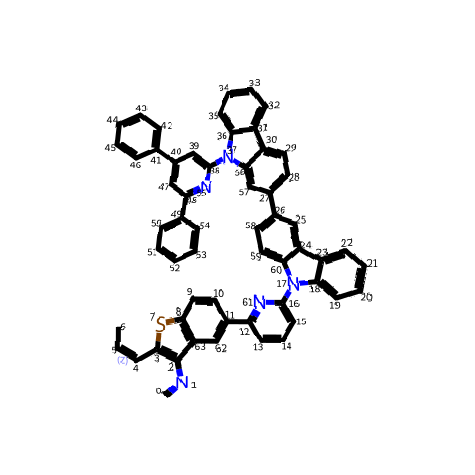 C=Nc1c(/C=C\C)sc2ccc(-c3cccc(-n4c5ccccc5c5cc(-c6ccc7c8ccccc8n(-c8cc(-c9ccccc9)cc(-c9ccccc9)n8)c7c6)ccc54)n3)cc12